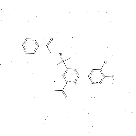 C=C(C)c1cc(C(C)(C)NCC(=O)c2ccccc2)cc(-c2ccc(F)c(Cl)c2)n1